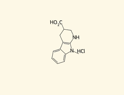 Cl.Cn1c2c(c3ccccc31)CC(C(=O)O)CN2